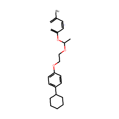 C=C(/C=C\C(=C)C(C)CC)OC(C)OCCOc1ccc(C2CCCCC2)cc1